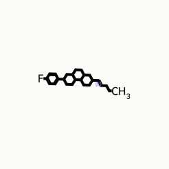 CCC/C=C/C1CCC2C(CCC3CC(c4ccc(F)cc4)CCC32)C1